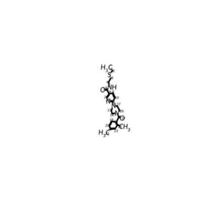 CCSCCNC(=O)c1ccc(N2CCN(C(=O)c3ccc(C)cc3C)CC2)nc1